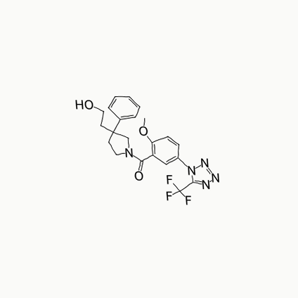 COc1ccc(-n2nnnc2C(F)(F)F)cc1C(=O)N1CCC(CCO)(c2ccccc2)C1